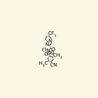 Cc1cc(S(=O)(=O)N(Cl)C(=O)c2cn3cc(C(F)(F)F)ccc3n2)c(C)cc1C#N